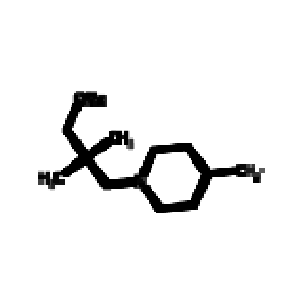 [CH2]C1CCN(CC(C)(C)COC)CC1